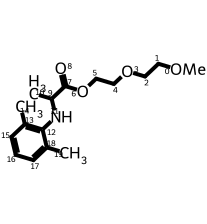 COCCOCCOC(=O)C(C)Nc1c(C)cccc1C